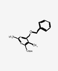 COc1nc(N)nc(OCc2ccccc2)c1C